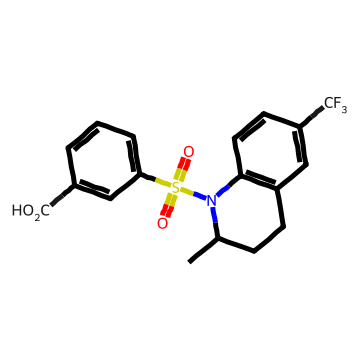 CC1CCc2cc(C(F)(F)F)ccc2N1S(=O)(=O)c1cccc(C(=O)O)c1